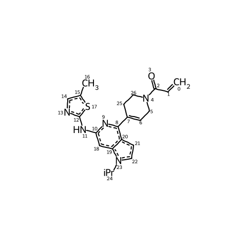 C=CC(=O)N1CC=C(c2nc(Nc3ncc(C)s3)cc3c2ccn3C(C)C)CC1